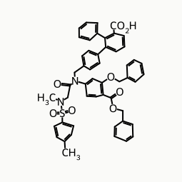 Cc1ccc(S(=O)(=O)N(C)CC(=O)N(Cc2ccc(-c3cccc(C(=O)O)c3-c3ccccc3)cc2)c2ccc(C(=O)OCc3ccccc3)c(OCc3ccccc3)c2)cc1